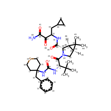 CC(C)(C)[C@H](NC(=O)NC1(Cc2ccccc2)CCSCC1)C(=O)N1C[C@H]2[C@@H]([C@H]1C(=O)NC(CC1CC1)C(=O)C(N)=O)C2(C)C